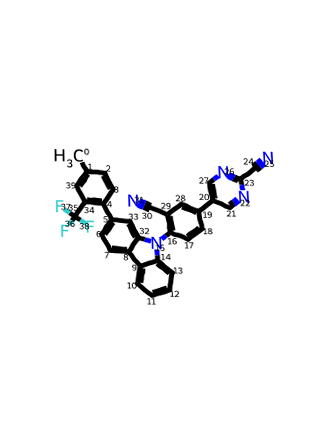 Cc1ccc(-c2ccc3c4ccccc4n(-c4ccc(-c5cnc(C#N)nc5)cc4C#N)c3c2)c(C(F)(F)F)c1